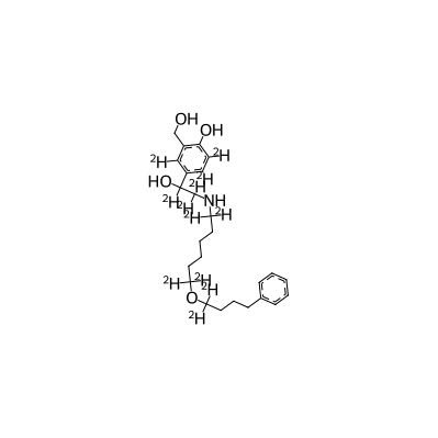 [2H]c1c([2H])c(C([2H])(O)C([2H])([2H])NC([2H])([2H])CCCCC([2H])([2H])OC([2H])([2H])CCCc2ccccc2)c([2H])c(CO)c1O